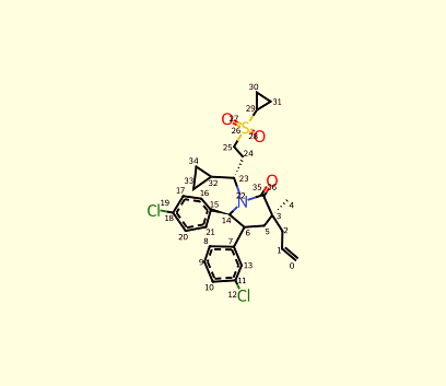 C=CC[C@@]1(C)CC(c2cccc(Cl)c2)[C@@H](c2ccc(Cl)cc2)N([C@@H](CCS(=O)(=O)C2CC2)C2CC2)C1=O